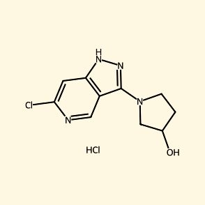 Cl.OC1CCN(c2n[nH]c3cc(Cl)ncc23)C1